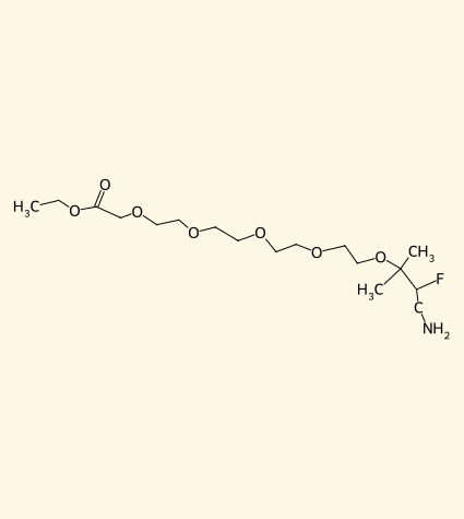 CCOC(=O)COCCOCCOCCOCCOC(C)(C)C(F)CN